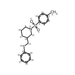 Cc1ccc(S(=O)(=O)N2CCCC(CSc3ccccc3)C2)cc1